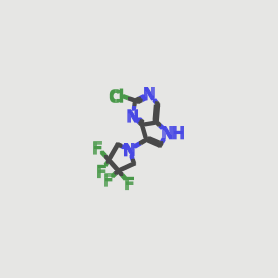 FC1(F)CN(c2c[nH]c3cnc(Cl)nc23)CC1(F)F